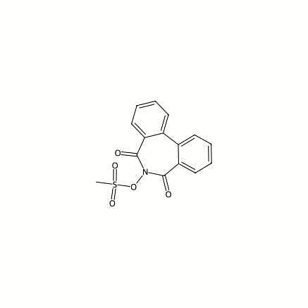 CS(=O)(=O)On1c(=O)c2ccccc2c2ccccc2c1=O